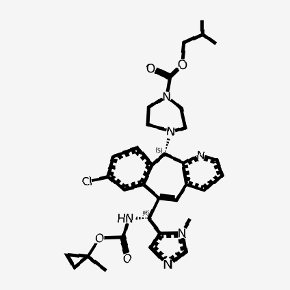 CC(C)COC(=O)N1CCN([C@H]2c3ccc(Cl)cc3C([C@@H](NC(=O)OC3(C)CC3)c3cncn3C)=Cc3cccnc32)CC1